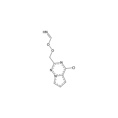 N=COOCc1nc(Cl)c2cccn2n1